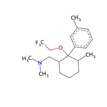 Cc1cccc(C2(OCC(F)(F)F)C(C)CCCC2CN(C)C)c1